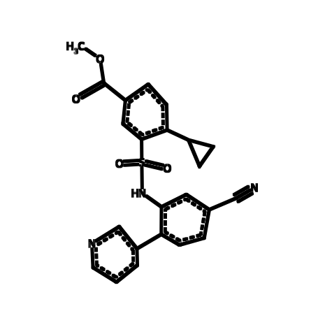 COC(=O)c1ccc(C2CC2)c(S(=O)(=O)Nc2cc(C#N)ccc2-c2cccnc2)c1